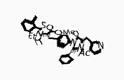 CCc1cccc(C)c1C(=S)N[C@@H](Cc1ccc(N2C(=O)[C@@H](Cc3cccnc3)N(C(C)=O)[C@@H]2c2ccccc2)cc1)C(=O)OC